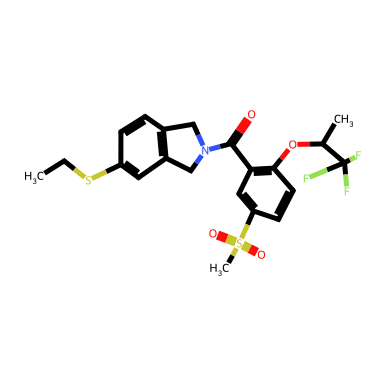 CCSc1ccc2c(c1)CN(C(=O)c1cc(S(C)(=O)=O)ccc1OC(C)C(F)(F)F)C2